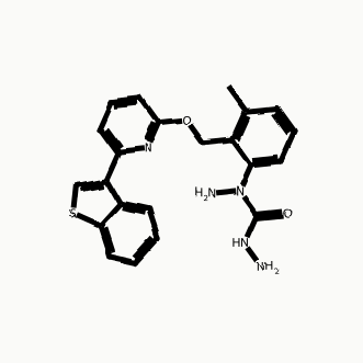 Cc1cccc(N(N)C(=O)NN)c1COc1cccc(-c2csc3ccccc23)n1